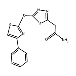 NC(=O)Cc1nnc(Sc2nc(-c3ccccc3)cs2)s1